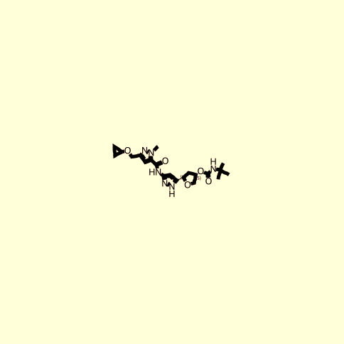 Cn1nc(COC2CC2)cc1C(=O)Nc1cc([C@@H]2C[C@H](OC(=O)NC(C)(C)C)CO2)[nH]n1